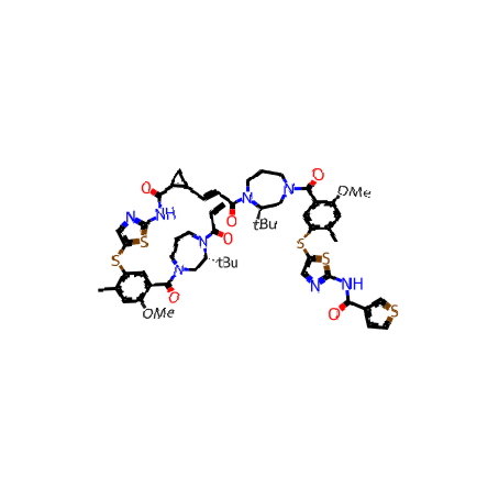 C=CC(=O)N1CCCN(C(=O)c2cc(Sc3cnc(NC(=O)C4CC4/C=C/C(=O)N4CCCN(C(=O)c5cc(Sc6cnc(NC(=O)c7ccsc7)s6)c(C)cc5OC)C[C@H]4C(C)(C)C)s3)c(C)cc2OC)C[C@H]1C(C)(C)C